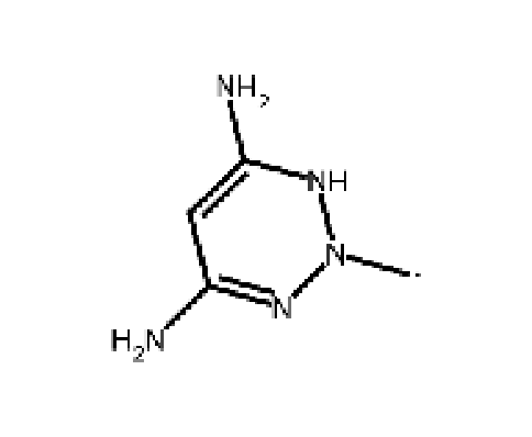 [CH2]N1N=C(N)C=C(N)N1